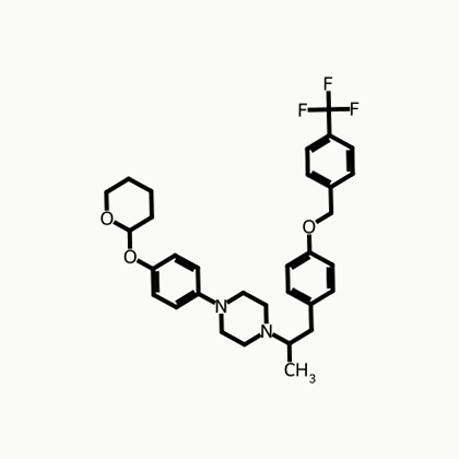 CC(Cc1ccc(OCc2ccc(C(F)(F)F)cc2)cc1)N1CCN(c2ccc(OC3CCCCO3)cc2)CC1